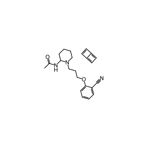 CC(=O)NC1CCCCN1CCCOc1ccccc1C#N.c1cc2ccc1-2